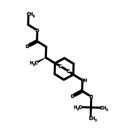 CCOC(=O)C[C@@H](C)C12CCC(NC(=O)OC(C)(C)C)(CC1)CC2